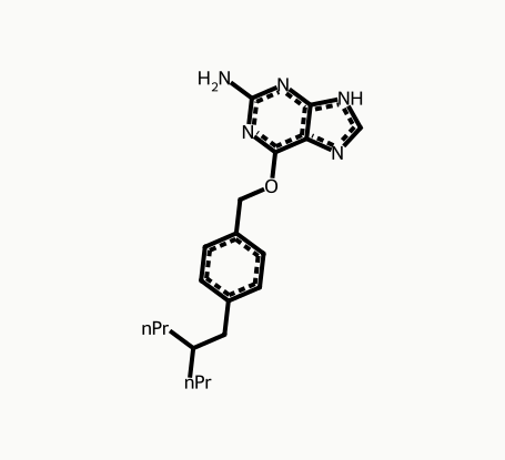 CCCC(CCC)Cc1ccc(COc2nc(N)nc3[nH]cnc23)cc1